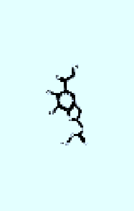 CC(C)(C)OC(=O)OC1Cc2cc(C(=O)CC#N)c(Cl)c(Cl)c2O1